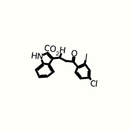 O=C(CC(C(=O)O)c1c[nH]c2ccccc12)c1ccc(Cl)cc1I